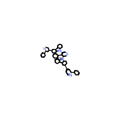 N#Cc1ccccc1-c1c(-n2c3ccccc3c3cc(-c4ccnc(-c5ccccc5)c4)ccc32)cncc1-n1c2ccccc2c2cc(-c3ccnc(-c4ccccc4)c3)ccc21